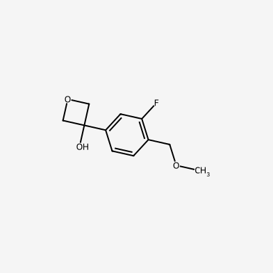 COCc1ccc(C2(O)COC2)cc1F